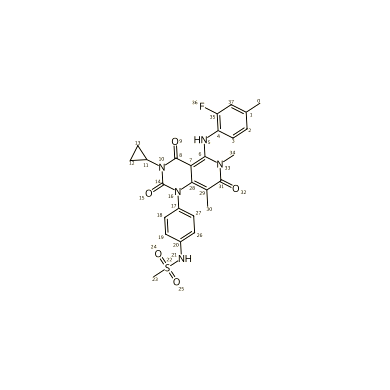 Cc1ccc(Nc2c3c(=O)n(C4CC4)c(=O)n(-c4ccc(NS(C)(=O)=O)cc4)c3c(C)c(=O)n2C)c(F)c1